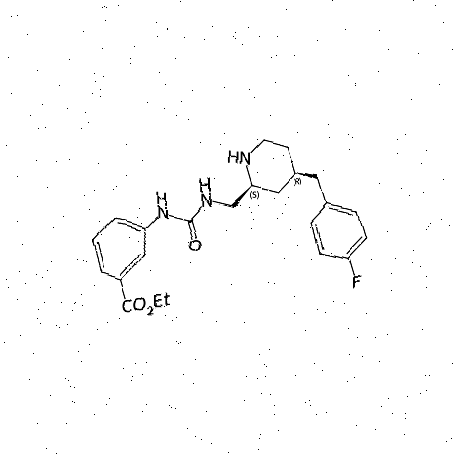 CCOC(=O)c1cccc(NC(=O)NC[C@@H]2C[C@H](Cc3ccc(F)cc3)CCN2)c1